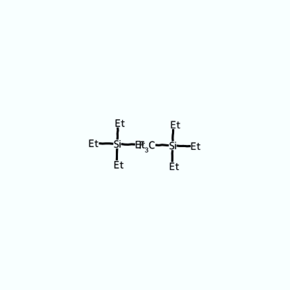 CC[Si](CC)(CC)C(F)(F)F.CC[Si](CC)(CC)CC